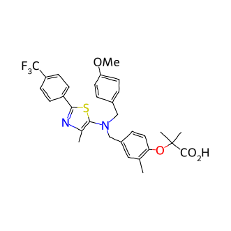 COc1ccc(CN(Cc2ccc(OC(C)(C)C(=O)O)c(C)c2)c2sc(-c3ccc(C(F)(F)F)cc3)nc2C)cc1